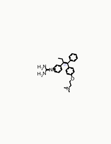 CC/C(=C(\c1ccccc1)c1ccc(OCCN(C)C)cc1)c1ccccc1.N=C(N)N